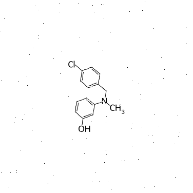 CN(Cc1ccc(Cl)cc1)c1cccc(O)c1